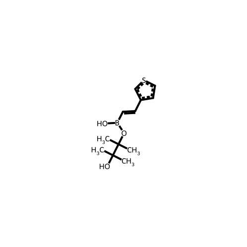 CC(C)(O)C(C)(C)OB(O)C=Cc1ccsc1